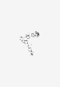 [2H]C([2H])([2H])C([2H])(n1cc2c(n1)-c1cc(-c3cc(C(=O)Nc4ccc(OC(F)(F)Cl)cc4)cc4nc5n(c34)[C@H](C)COC5)cnc1C2)C([2H])([2H])[2H]